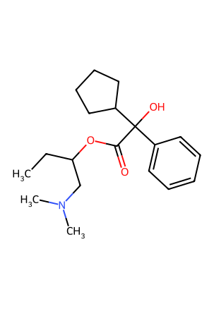 CCC(CN(C)C)OC(=O)C(O)(c1ccccc1)C1CCCC1